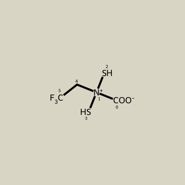 O=C([O-])[N+](S)(S)CC(F)(F)F